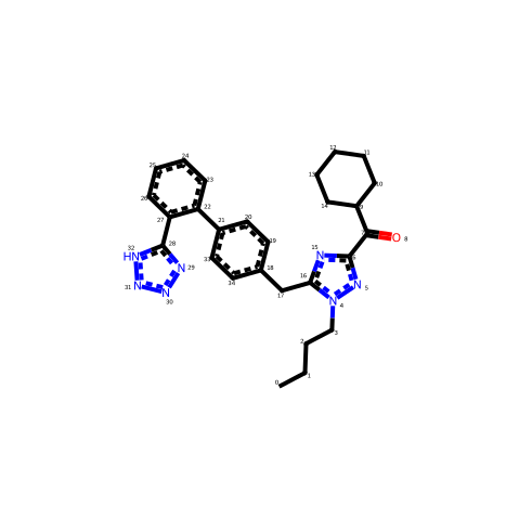 CCCCn1nc(C(=O)C2CCCCC2)nc1Cc1ccc(-c2ccccc2-c2nnn[nH]2)cc1